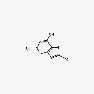 CN1C=C(O)c2sc(Cl)cc2S1